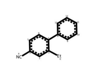 CCc1cc(C#N)ccc1-c1[c]cccc1